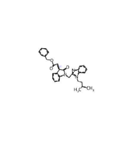 CC(C)CCn1c(CN2C(=O)/C(=C/C(=O)OCc3ccccc3)c3ccccc32)nc2ccccc21